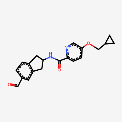 O=Cc1ccc2c(c1)CC(NC(=O)c1ccc(OCC3CC3)cn1)C2